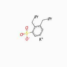 CC(C)Cc1cccc(S(=O)(=O)[O-])c1CC(C)C.[K+]